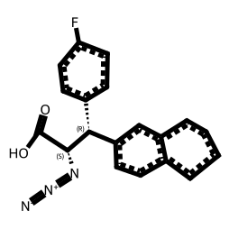 [N-]=[N+]=N[C@H](C(=O)O)[C@H](c1ccc(F)cc1)c1ccc2ccccc2c1